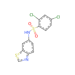 O=S(=O)(Nc1ccc2ncsc2c1)c1ccc(Cl)cc1Cl